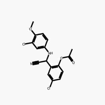 COc1ccc(NC(C#N)c2cc(Cl)ccc2OC(C)=O)cc1Cl